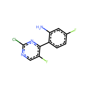 Nc1cc(F)ccc1-c1nc(Cl)ncc1F